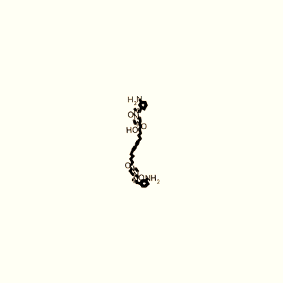 CN(Cc1cccc(N)c1)C(=O)N1CCN(C(=O)CCCCC#CC#CCCCC(O)C(=O)N2CCN(C(=O)N(C)Cc3cccc(N)c3)CC2)CC1